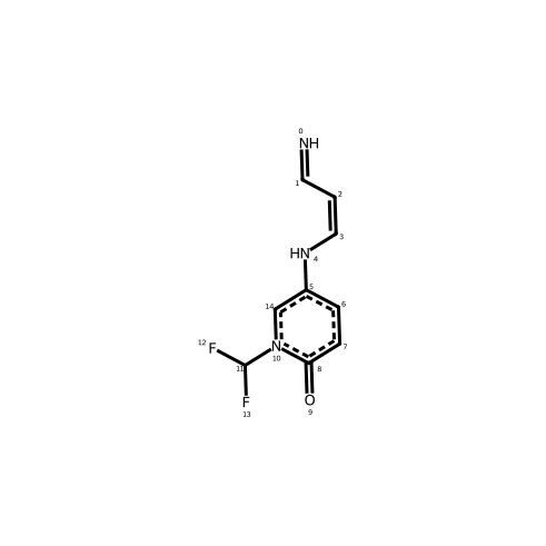 N=C/C=C\Nc1ccc(=O)n(C(F)F)c1